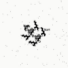 CCCCC(CC)COC(=O)CC(C(=O)OCC(CC)CCCC)S(=O)(=O)O.CCCCC(CC)COC(=O)CC(C(=O)OCC(CC)CCCC)S(=O)(=O)O.CCOCC.[NaH].[NaH].[NaH]